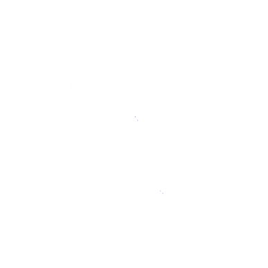 c1ccc(-c2cc(-c3cccc4ccccc34)cc(-n3c4ccccc4c4cc(-c5ccccc5-c5ccc(N(c6ccccc6)c6ccccc6)cc5)ccc43)c2)cc1